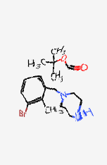 CC(C)(C)OC=O.Cc1c(Br)cccc1CN1CCNCC1